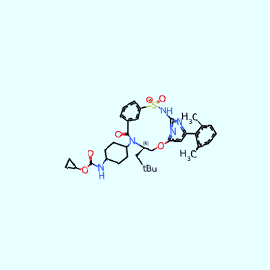 Cc1cccc(C)c1-c1cc2nc(n1)NS(=O)(=O)c1cccc(c1)C(=O)N(C1CCC(NC(=O)OC3CC3)CC1)[C@H](CC(C)(C)C)CO2